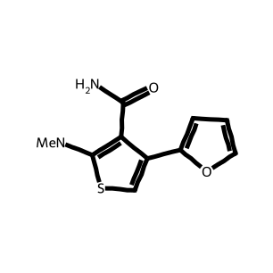 CNc1scc(-c2ccco2)c1C(N)=O